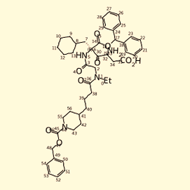 CCN(CC(=O)N[C@@](CC1CCCCC1)(C(=O)OC(c1ccccc1)c1ccccc1)C(=O)[C@@H](N)CC(=O)O)C(=O)CCCC1CCN(C(=O)OCc2ccccc2)CC1